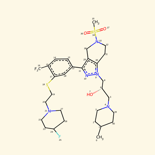 CC1CCN(C[C@H](O)Cn2nc(-c3ccc(C(F)(F)F)c(SCCN4CCC(F)CC4)c3)c3c2CCN(S(C)(=O)=O)C3)CC1